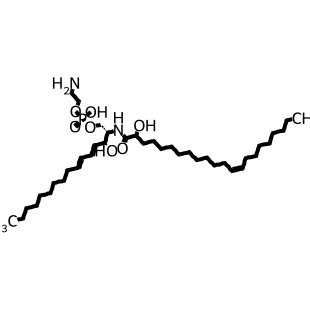 CCCCCCCC/C=C\CCCCCCCCCCC(O)C(=O)N[C@@H](COP(=O)(O)OCCN)[C@H](O)/C=C/C=C/CCCCCCCCC